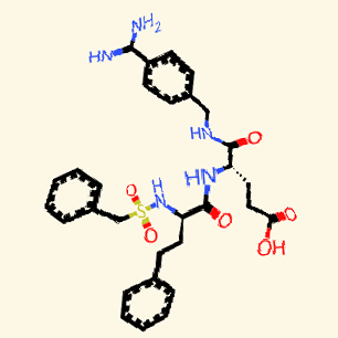 N=C(N)c1ccc(CNC(=O)[C@H](CCC(=O)O)NC(=O)[C@@H](CCc2ccccc2)NS(=O)(=O)Cc2ccccc2)cc1